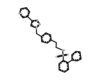 O=S(=O)(NCCc1ccc(Cn2cc(-c3cccnc3)nn2)cc1)c1ccccc1-c1ccccc1